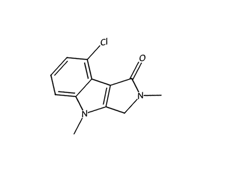 CN1Cc2c(c3c(Cl)cccc3n2C)C1=O